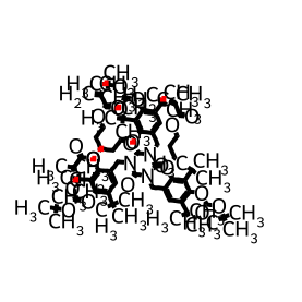 C=C(C)C(=O)OCCCOc1c(Cn2c(=O)n(Cc3cc(C(C)(C)C)c(OC(=O)OC(C)(C)C)c(C(C)(C)C)c3OCCCOC(=O)C(=C)C)c(=O)n(Cc3cc(C(C)(C)C)c(OC(=O)OC(C)(C)C)c(C(C)(C)C)c3OCCCOC(=O)C(=C)C)c2=O)cc(C(C)(C)C)c(OC(=O)OC(C)(C)C)c1C(C)(C)C